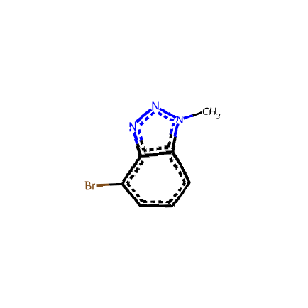 Cn1nnc2c(Br)cccc21